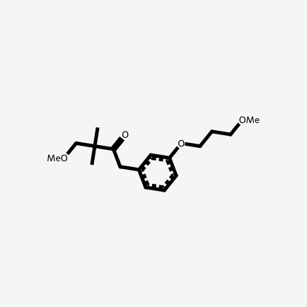 COCCCOc1cccc(CC(=O)C(C)(C)COC)c1